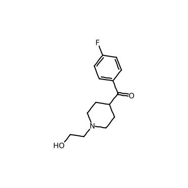 O=C(c1ccc(F)cc1)C1CCN(CCO)CC1